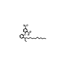 CCCCCCCCCCCCC(CC)c1ccccc1Oc1ccc([N+](=O)[O-])cc1[N+](=O)[O-]